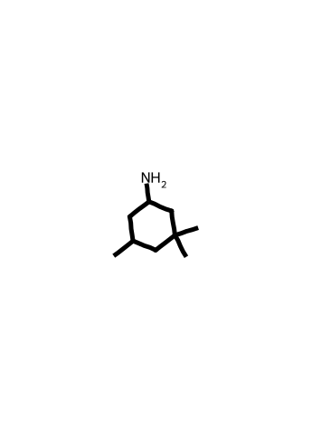 CC1CC(N)CC(C)(C)C1